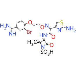 C[C@H]1[C@H](NC(=O)C(=NOCCOc2ccc(C(=N)N)cc2Br)c2csc(N)n2)C(=O)N1S(=O)(=O)O